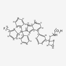 O=C(O)NCC1(c2cccc(-c3ccnc4nn(C(c5ccccc5)(c5ccccc5)c5cccc(C(F)(F)F)c5)cc34)c2)COC1